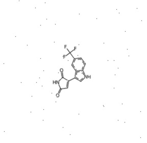 O=C1C=C(c2c[nH]c3ccc(C(F)(F)F)cc23)C(=O)N1